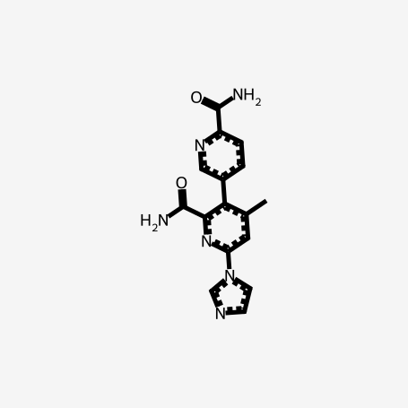 Cc1cc(-n2ccnc2)nc(C(N)=O)c1-c1ccc(C(N)=O)nc1